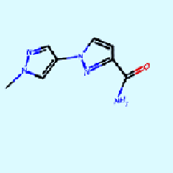 Cn1cc(-n2ccc(C(N)=O)n2)cn1